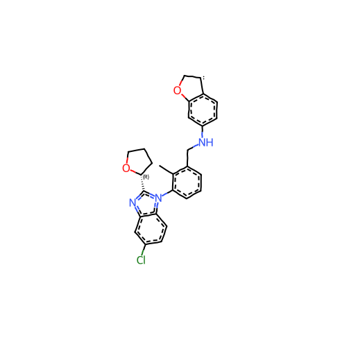 Cc1c(CNc2ccc3c(c2)OC[C]3)cccc1-n1c([C@H]2CCCO2)nc2cc(Cl)ccc21